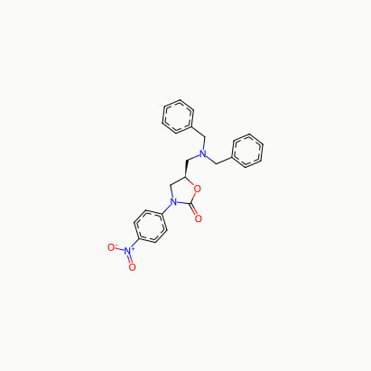 O=C1O[C@H](CN(Cc2ccccc2)Cc2ccccc2)CN1c1ccc([N+](=O)[O-])cc1